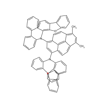 Cc1cc(C)c2ccc3c(N(c4ccccc4-c4ccccc4)c4cccc5c4oc4ccccc45)cc(N(c4ccccc4-c4ccccc4)c4cccc5c4oc4ccccc45)c4ccc1c2c43